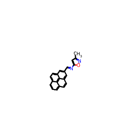 Cc1cc(N=Cc2cc3ccc4cccc5ccc(c2)c3c45)on1